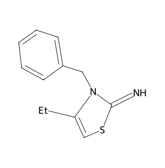 CCc1csc(=N)n1Cc1ccccc1